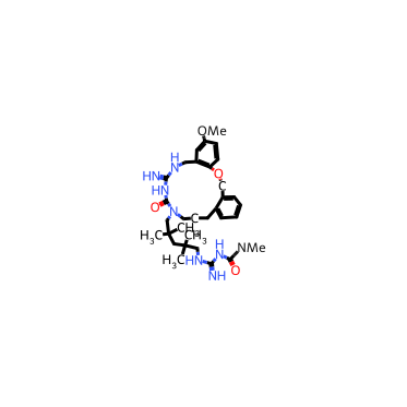 CNC(=O)NC(=N)NCC(C)(C)CC(C)(C)CN1CCCc2ccccc2COc2ccc(OC)cc2CNC(=N)NC1=O